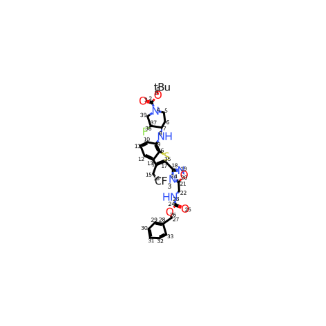 CC(C)(C)OC(=O)N1CC[C@@H](Nc2cccc3c(CC(F)(F)F)c(-c4noc(CNC(=O)OCc5ccccc5)n4)sc23)[C@@H](F)C1